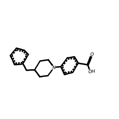 O=C(O)c1ccc(N2CCC(Cc3ccccc3)CC2)cc1